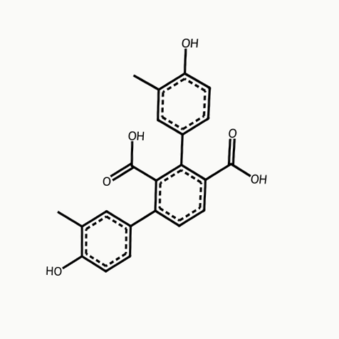 Cc1cc(-c2ccc(C(=O)O)c(-c3ccc(O)c(C)c3)c2C(=O)O)ccc1O